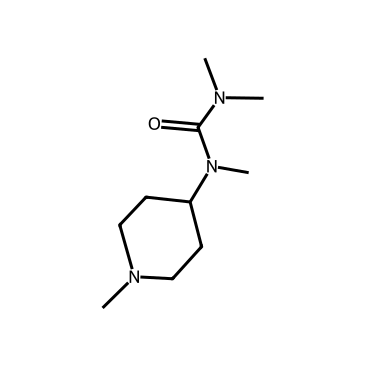 CN1CCC(N(C)C(=O)N(C)C)CC1